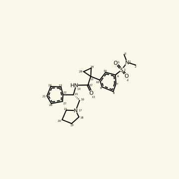 CN(C)S(=O)(=O)c1cccc(C2(C(=O)N[C@H](CN3CCCC3)c3ccccc3)CC2)c1